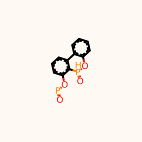 O=POc1cccc2c1[PH](=O)Oc1ccccc1-2